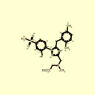 CCOC(=O)CN(C)Cc1nc(Cc2cc(C)ccc2C)n(-c2ccc(S(N)(=O)=O)cc2F)n1